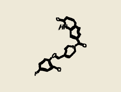 O=C(c1ccc2ccc(=O)[nH]c2c1)N1CCC(COc2ccc(F)cc2Cl)CC1